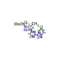 COC(=O)N[C@@H]1C[C@@H](C)CN(c2ccnc(-c3cnc4ccc(Cl)cn34)n2)C1